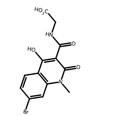 Cn1c(=O)c(C(=O)NCC(=O)O)c(O)c2ccc(Br)cc21